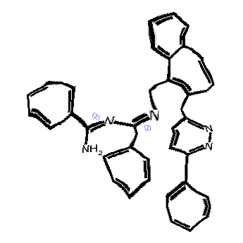 N/C(=N\C(=N/Cc1c(-c2ccc(-c3ccccc3)nn2)ccc2ccccc12)c1ccccc1)c1ccccc1